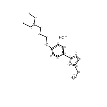 CCN(CC)CCCOc1ccc(-c2ncc(CN)s2)cc1.Cl